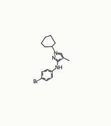 Cc1cn(C2CCCCC2)nc1Nc1ccc(Br)cc1